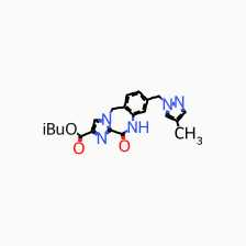 Cc1cnn(Cc2ccc3c(c2)NC(=O)c2nc(C(=O)OCC(C)C)cn2C3)c1